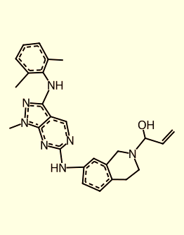 C=CC(O)N1CCc2ccc(Nc3ncc4c(Nc5c(C)cccc5C)nn(C)c4n3)cc2C1